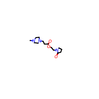 CN1CCN(CCC(=O)OCCN2CCCC2=O)CC1